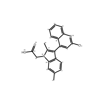 Cc1ccc2c(-c3cc(Cl)nc4ccccc34)c(C)n(CC(=O)O)c2c1